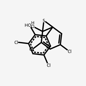 Oc1c(Cl)cc(Cl)cc1C12C=C(Cl)C=C(Cl)C1(O)S2